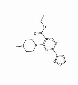 CCOC(=O)c1cnc(-c2ccco2)nc1N1CCN(C)CC1